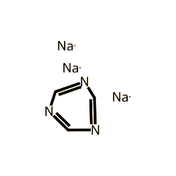 [Na].[Na].[Na].c1ncncn1